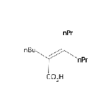 CCCCC(C(=O)O)=C(CCC)CCC